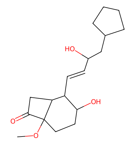 COC12CCC(O)C(C=CC(O)CC3CCCC3)C1CC2=O